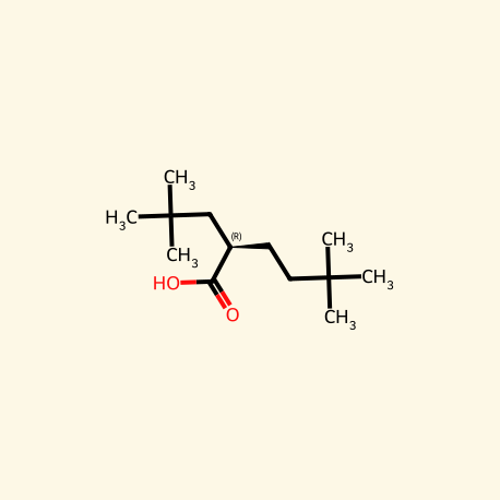 CC(C)(C)CC[C@H](CC(C)(C)C)C(=O)O